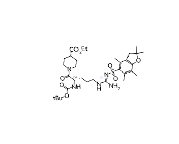 CCOC(=O)C1CCN(C(=O)[C@H](CCCN/C(N)=N/S(=O)(=O)c2c(C)c(C)c3c(c2C)CC(C)(C)O3)NC(=O)OC(C)(C)C)CC1